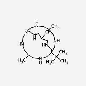 CC1CNCN2CNCC(C)CNCC(C(C)(C)C)(CNC1)CNCC(C)CNC2